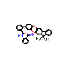 CC1(C)c2ccccc2-c2cc3c(cc21)Oc1cc(-c2ccccc2C(=N)OC(=N)c2ccccc2)ccc1O3